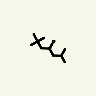 CC(C)C[S+]([O-])CC(C)(C)F